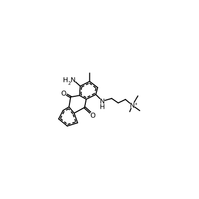 Cc1cc(NCCC[N+](C)(C)C)c2c(c1N)C(=O)c1ccccc1C2=O